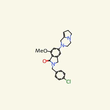 COc1cc(N2CCN3CCC=C3C2)cc2c1C(=O)N(Cc1ccc(Cl)cc1)C2